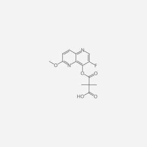 COc1ccc2ncc(F)c(OC(=O)C(C)(C)C(=O)O)c2n1